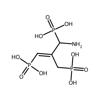 NC(C(=CP(=O)(O)O)CP(=O)(O)O)P(=O)(O)O